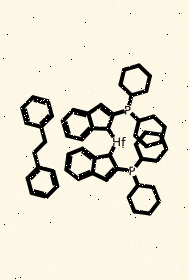 C1=C(P(C2CCCCC2)C2CCCCC2)[CH]([Hf][CH]2C(P(C3CCCCC3)C3CCCCC3)=Cc3ccccc32)c2ccccc21.c1ccc(CCc2ccccc2)cc1